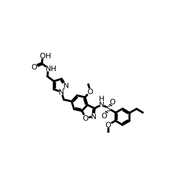 CCc1ccc(OC)c(S(=O)(=O)Nc2noc3cc(Cn4cc(CNC(=O)O)cn4)cc(OC)c23)c1